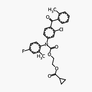 Cc1ccccc1C(=O)c1ccc(N(C(=O)OCCOC(=O)C2CC2)c2ccc(F)cc2C)cc1Cl